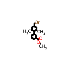 CCOC(=O)c1cccc(-c2c(C)cc(CBr)cc2C)c1